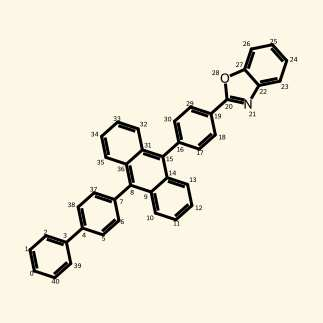 c1ccc(-c2ccc(-c3c4ccccc4c(-c4ccc(-c5nc6ccccc6o5)cc4)c4ccccc34)cc2)cc1